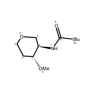 CO[C@@H]1CCOC[C@H]1NC(=O)C(C)(C)C